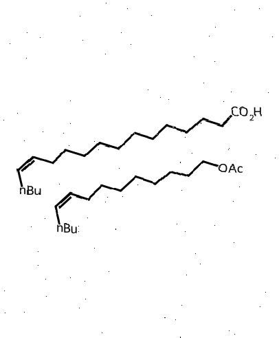 CCCC/C=C\CCCCCCCCCCCC(=O)O.CCCC/C=C\CCCCCCCCOC(C)=O